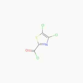 O=C(Cl)c1nc(Cl)c(Cl)s1